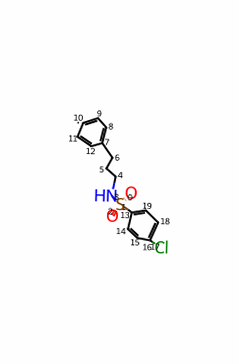 O=S(=O)(NCCCc1cc[c]cc1)c1ccc(Cl)cc1